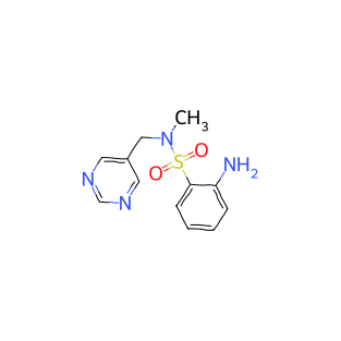 CN(Cc1cncnc1)S(=O)(=O)c1ccccc1N